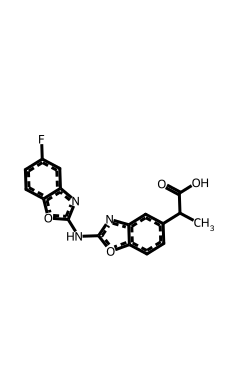 CC(C(=O)O)c1ccc2oc(Nc3nc4cc(F)ccc4o3)nc2c1